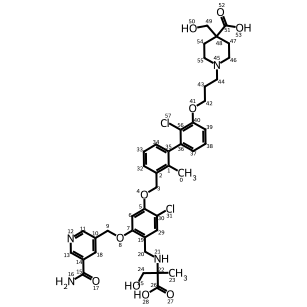 Cc1c(COc2cc(OCc3cncc(C(N)=O)c3)c(CNC(C)(CO)C(=O)O)cc2Cl)cccc1-c1cccc(OCCCN2CCC(CO)(C(=O)O)CC2)c1Cl